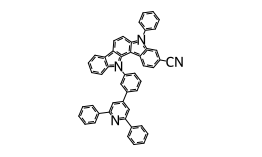 N#Cc1ccc2c3c(ccc4c5ccccc5n(-c5cccc(-c6cc(-c7ccccc7)nc(-c7ccccc7)c6)c5)c43)n(-c3ccccc3)c2c1